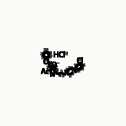 CC(=O)C1=NN(CCCN2CCN(c3cccc(Cl)c3)CC2)C[N+]1([O-])CCOc1ccccc1.Cl